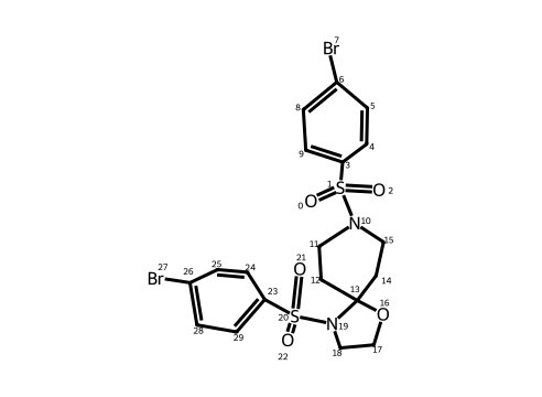 O=S(=O)(c1ccc(Br)cc1)N1CCC2(CC1)OCCN2S(=O)(=O)c1ccc(Br)cc1